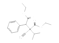 CCOC(=O)C(c1ccccc1)C(C#N)(C(=O)OCC)C(C)C